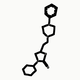 O=C1OC(CCN2CCN(c3ccccc3)CC2)CN1C1CCCCC1